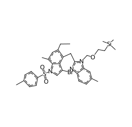 CCc1cc(C)c2c(c(Br)cn2S(=O)(=O)c2ccc(C)cc2)c1Cc1nc2ccc(C)cc2n1COCC[Si](C)(C)C